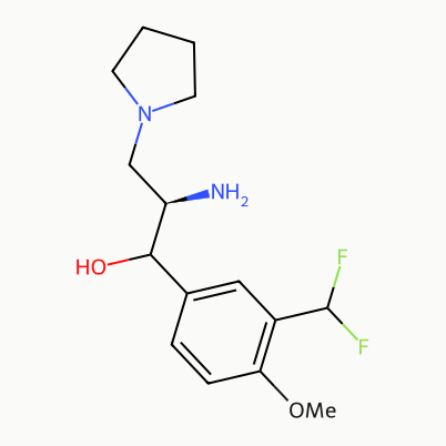 COc1ccc(C(O)[C@H](N)CN2CCCC2)cc1C(F)F